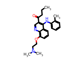 CCCC(=O)c1cnc2c(OCCN(C)C)cccc2c1Nc1ccccc1C